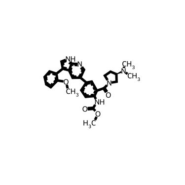 COC(=O)Nc1ccc(-c2cnc3[nH]cc(-c4ccccc4OC)c3c2)cc1C(=O)N1CC[C@@H](N(C)C)C1